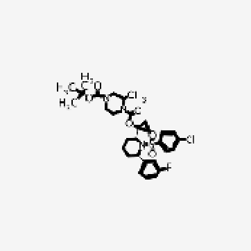 CC1CN(C(=O)OC(C)(C)C)CCN1C(=O)OC1([C@H]2CCC[C@@H](c3cccc(F)c3)N2S(=O)(=O)c2ccc(Cl)cc2)CC1